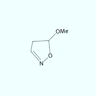 [CH2]OC1CC=NO1